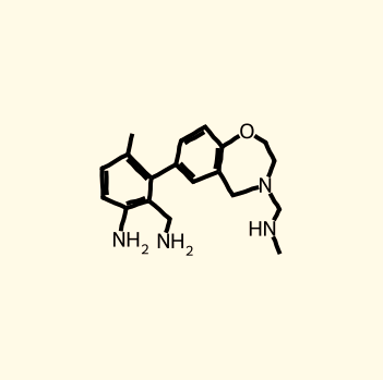 CNCN1CCOc2ccc(-c3c(C)ccc(N)c3CN)cc2C1